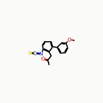 COc1cccc(-c2cccc(N=C=S)c2CC(C)=O)c1